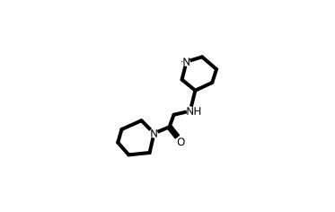 O=C(CNC1CCC[N]C1)N1CCCCC1